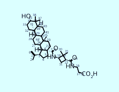 C=C(C)[C@@H]1CC[C@]2(C(=O)N[C@@H]3C[C@H](C(=O)NCCC(=O)O)C3(C)C)CC[C@]3(C)C(CC[C@@H]4[C@@]5(C)CC[C@H](O)C(C)(C)[C@@H]5CC[C@]43C)[C@@H]12